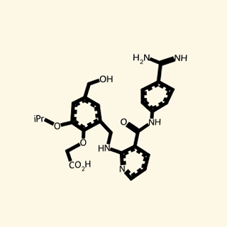 CC(C)Oc1cc(CO)cc(CNc2ncccc2C(=O)Nc2ccc(C(=N)N)cc2)c1OCC(=O)O